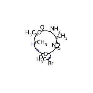 C/C(Br)=C\C1Cc2nc(cs2)[C@@H](C)CC(N)CC(=O)O[C@@H](C)C/C(C)=C/C=C\C(=O)O1